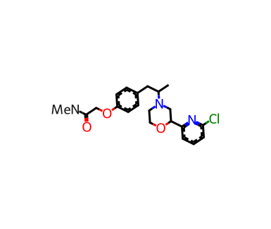 CNC(=O)COc1ccc(CC(C)N2CCOC(c3cccc(Cl)n3)C2)cc1